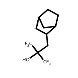 OC(CC1[CH]C2CCC1C2)(C(F)(F)F)C(F)(F)F